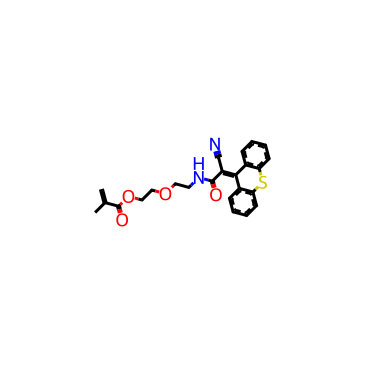 C=C(C)C(=O)OCCOCCNC(=O)C(C#N)=C1c2ccccc2Sc2ccccc21